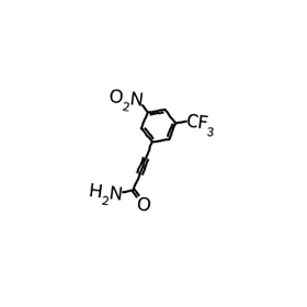 NC(=O)C#Cc1cc([N+](=O)[O-])cc(C(F)(F)F)c1